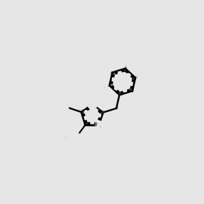 CCCc1nc(Cc2ccccc2)oc1C